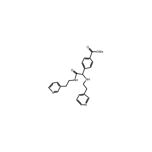 COC(=O)c1ccc(C(NCCc2cccnc2)C(=O)NCCc2cccnc2)cc1